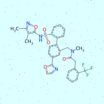 Cc1noc(NS(=O)(=O)c2ccccc2-c2ccc(-c3ncco3)cc2CN(C)C(=O)Cc2ccccc2C(F)(F)F)c1C